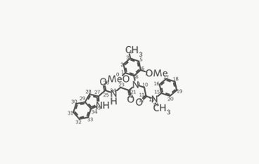 COc1cc(C)cc(OC)c1N(CC(=O)N(C)c1ccccc1)C(=O)CNC(=O)c1cc2ccccc2[nH]1